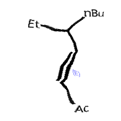 CCCCC(/C=C/C(C)=O)CC